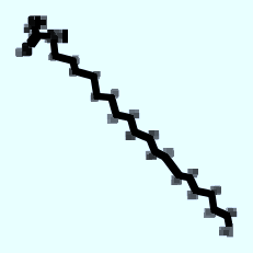 S=C(S)NCCCCCCCCCCCCCCCCCCI